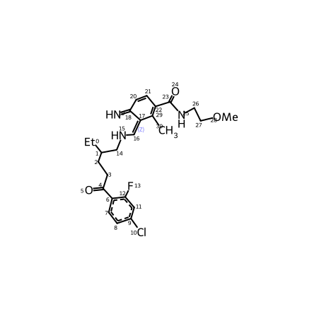 CCC(CCC(=O)c1ccc(Cl)cc1F)CN/C=C1\C(=N)C=CC(C(=O)NCCOC)=C1C